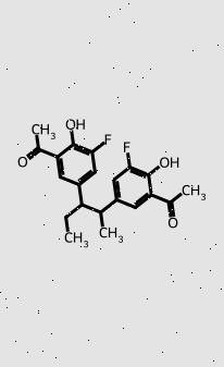 CCC(c1cc(F)c(O)c(C(C)=O)c1)C(C)c1cc(F)c(O)c(C(C)=O)c1